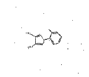 CCCCc1cn(-c2ccccc2C)nc1O